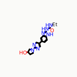 CCNC(=O)Nc1nc2cc(-c3cnc(N4CCC(O)C4)nc3)ccc2[nH]1